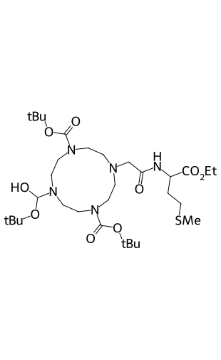 CCOC(=O)C(CCSC)NC(=O)CN1CCN(C(=O)OC(C)(C)C)CCN(C(O)OC(C)(C)C)CCN(C(=O)OC(C)(C)C)CC1